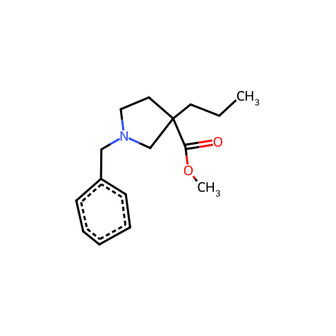 CCCC1(C(=O)OC)CCN(Cc2ccccc2)C1